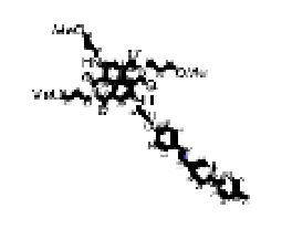 COCCCNc1cc2c3c(c(NCCOc4ccc(/C=C/c5ccc(-c6ccc(C)cn6)nc5)cc4)cc4c3c1C(=O)N(CCCOC)C4=O)C(=O)N(CCCOC)C2=O